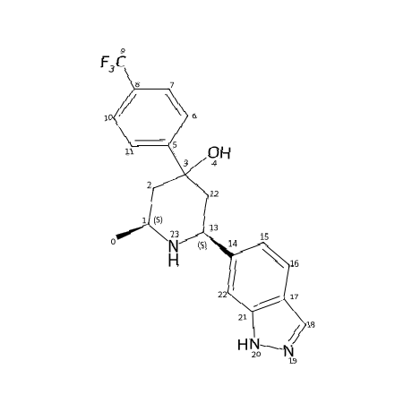 C[C@H]1CC(O)(c2ccc(C(F)(F)F)cc2)C[C@@H](c2ccc3cn[nH]c3c2)N1